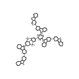 CC1(C)c2cc(-c3nc(-n4c5ccccc5c5cc(-c6ccc7sc8ccccc8c7c6)ccc54)nc(-n4c5ccccc5c5cc(-c6ccc7sc8ccccc8c7c6)ccc54)n3)cc3c2-c2c1cc(-n1c4ccccc4c4cc(-c5ccc6sc7ccccc7c6c5)ccc41)cc2C3(C)C